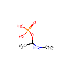 CC(N[C]=O)OP(=O)(O)O